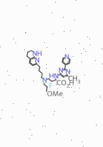 COC[C@@H](F)CN(CCCCc1ccc2c(n1)NCCC2)CC[C@H](Nc1cc(C)nc(-c2ccncc2)n1)C(=O)O